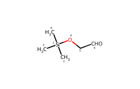 C[Si](C)(C)OCC=O